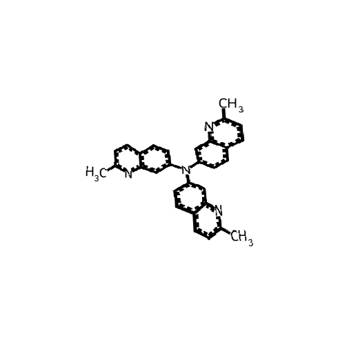 Cc1ccc2ccc(N(c3ccc4ccc(C)nc4c3)c3ccc4ccc(C)nc4c3)cc2n1